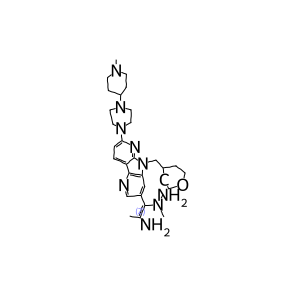 C/C(N)=C(\c1cnc2c3ccc(N4CCN(C5CCN(C)CC5)CC4)nc3n(CC3CCOCC3)c2c1)N(C)N